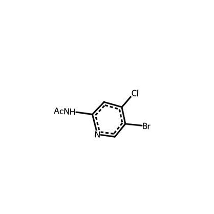 CC(=O)Nc1cc(Cl)c(Br)cn1